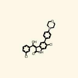 O=C1Nc2cc(Cl)c(-c3ccc(N4CCOCC4)cc3)cc2C1=C(O)c1cccc(Cl)c1